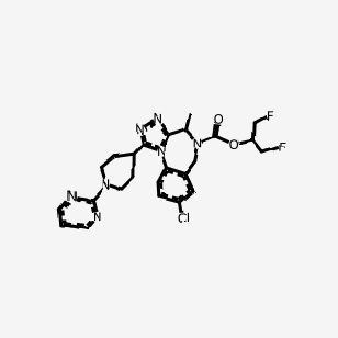 CC1c2nnc(C3CCN(c4ncccn4)CC3)n2-c2ccc(Cl)cc2CN1C(=O)OC(CF)CF